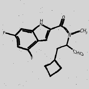 CN(C(=O)c1cc2c(F)cc(F)cc2[nH]1)C(C=O)CC1CCC1